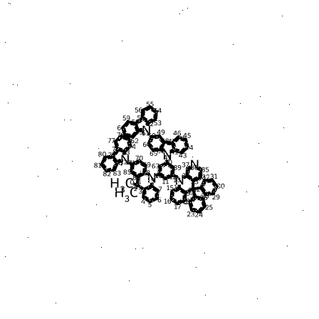 CC1(C)c2ccccc2N(c2cc(N3c4ccccc4C(c4ccccc4)(c4ccccc4)c4ccncc43)cc(-n3c4ccccc4c4cc(-n5c6ccccc6c6ccccc65)ccc43)c2)c2ccc(-n3c4ccccc4c4ccccc43)cc21